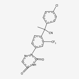 CC(C#N)(c1ccc(Cl)cc1)c1ccc(-n2ncc(=O)[nH]c2=O)cc1C(F)(F)F